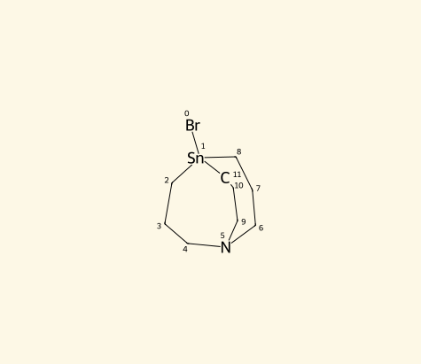 [Br][Sn]12[CH2]CCN(CC[CH2]1)CC[CH2]2